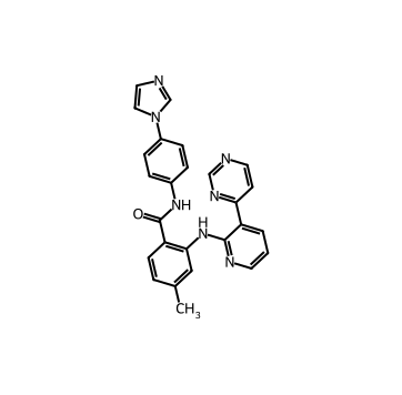 Cc1ccc(C(=O)Nc2ccc(-n3ccnc3)cc2)c(Nc2ncccc2-c2ccncn2)c1